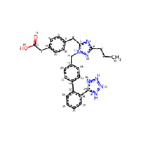 CCCc1nc(Cc2ccc(CC(=O)O)cc2)n(Cc2ccc(-c3ccccc3-c3nnn[nH]3)cc2)n1